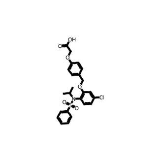 CC(C)N(c1ccc(Cl)cc1OCc1ccc(OCC(=O)O)cc1)S(=O)(=O)c1ccccc1